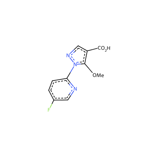 COc1c(C(=O)O)cnn1-c1ccc(F)cn1